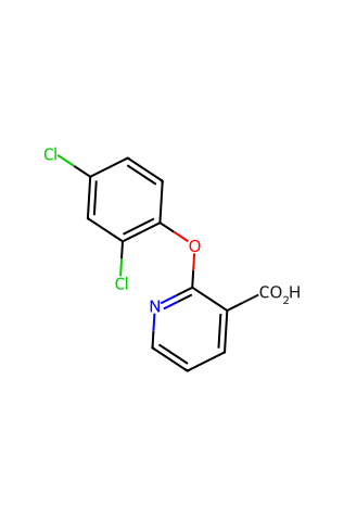 O=C(O)c1cccnc1Oc1ccc(Cl)cc1Cl